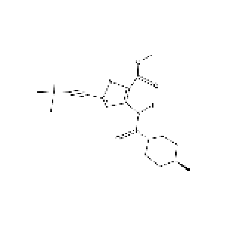 COC(=O)c1sc(C#CC(C)(C)C)cc1N(I)C(=O)[C@H]1CC[C@H](C)CC1